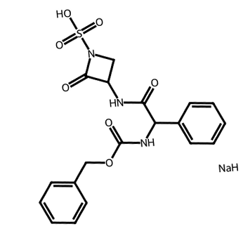 O=C(NC(C(=O)NC1CN(S(=O)(=O)O)C1=O)c1ccccc1)OCc1ccccc1.[NaH]